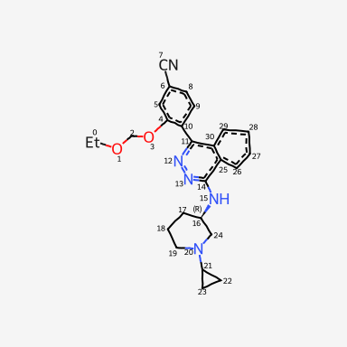 CCOCOc1cc(C#N)ccc1-c1nnc(N[C@@H]2CCCN(C3CC3)C2)c2ccccc12